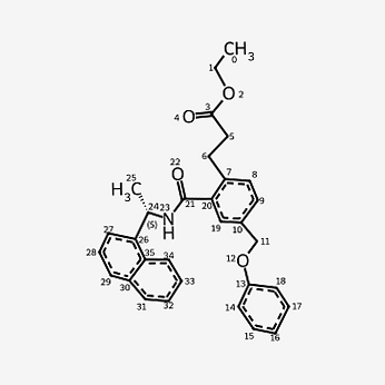 CCOC(=O)CCc1ccc(COc2ccccc2)cc1C(=O)N[C@@H](C)c1cccc2ccccc12